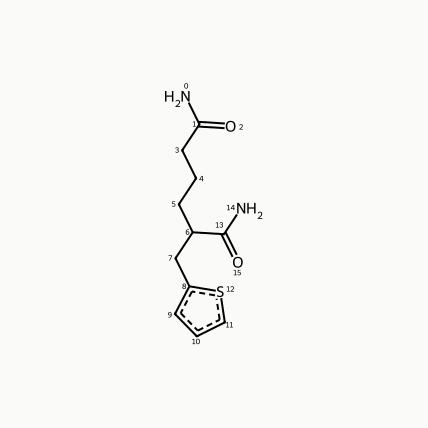 NC(=O)CCCC(Cc1cccs1)C(N)=O